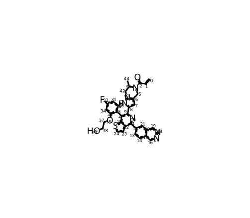 C=CC(=O)N1Cc2cc(-c3nc(-c4ccc5cnncc5c4)c4ccsc4c3-c3c(F)cc(F)cc3OCCO)nn2CC1C